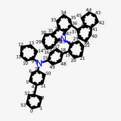 c1ccc(-c2ccc(N(c3ccccc3)c3ccc(-c4ccccc4-n4c5ccccc5c5cccc(-c6cccc7ccccc67)c54)cc3)cc2)cc1